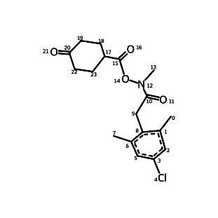 Cc1cc(Cl)cc(C)c1CC(=O)N(C)OC(=O)C1CCC(=O)CC1